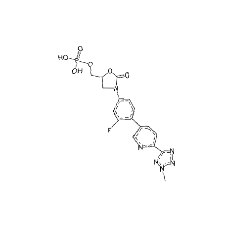 Cn1nnc(-c2ccc(-c3ccc(N4CC(COP(=O)(O)O)OC4=O)cc3F)cn2)n1